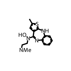 CNCCN(O)C1=Nc2ccccc2Nc2sc(C)cc21